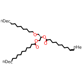 CCCCCC/C=C\CCCCCCCC(=O)O[C@H](COCCCCCCCCCCCCCCCCCC)COC(=O)CCCCCCCCCCCCCCCCCCC